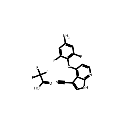 N#Cc1c[nH]c2nccc(Oc3c(F)cc(N)cc3F)c12.O=C(O)C(F)(F)F